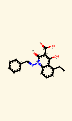 CCc1cccc2c1c(O)c(C(=O)O)c(=O)n2N=Cc1ccccc1